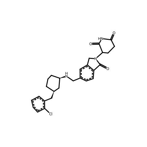 O=C1CCC(N2Cc3cc(CN[C@@H]4CCC[C@H](Cc5ccccc5Cl)C4)ccc3C2=O)C(=O)N1